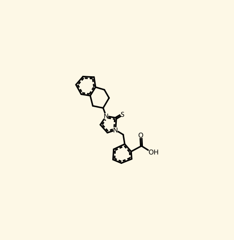 O=C(O)c1ccccc1Cn1ccn(C2CCc3ccccc3C2)c1=S